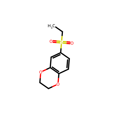 CCS(=O)(=O)c1ccc2c(c1)OCCO2